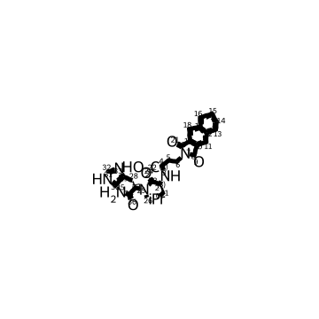 CC(C)C[C@H](N[C@H](CCN1C(=O)c2cc3ccccc3cc2C1=O)C(=O)O)C(=O)N(C)[C@@H](Cc1c[nH]cn1)C(N)=O